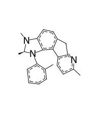 Cc1ccc2c(n1)Cc1ccc3c(c1-2)N(c1ccccc1C)[C@@H](C)N3C